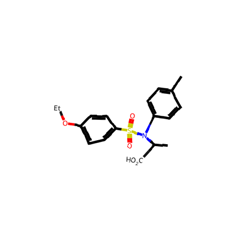 CCOc1ccc(S(=O)(=O)N(c2ccc(C)cc2)C(C)C(=O)O)cc1